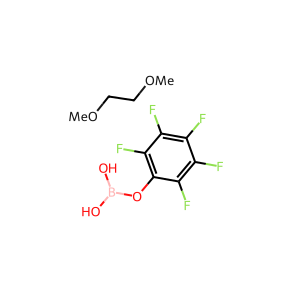 COCCOC.OB(O)Oc1c(F)c(F)c(F)c(F)c1F